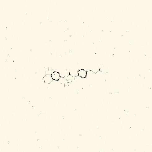 COC(=O)CCc1ccc(N2CCN(c3ccc4c(c3)CCCC4N)C2=O)cc1.Cl